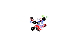 CN(Cc1ccc2c(c1)N(C(=O)OCc1ccccc1)[C@H](CN(C(=O)OC(C)(C)C)/C(=N\C(=O)OC(C)(C)C)NC(=O)OC(C)(C)C)[C@H]2NC(=O)C(=O)Nc1ccc(Cl)c(F)c1)C(=O)OC(C)(C)C